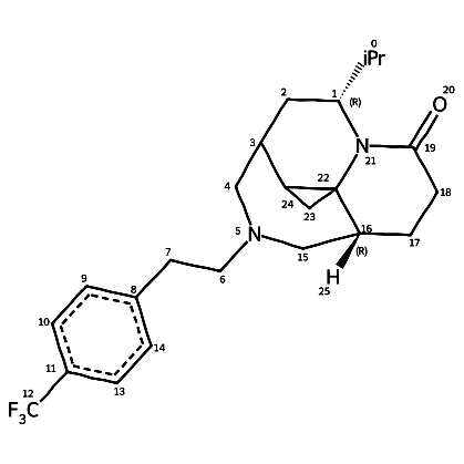 CC(C)[C@H]1CC2CN(CCc3ccc(C(F)(F)F)cc3)C[C@H]3CCC(=O)N1C31CC21